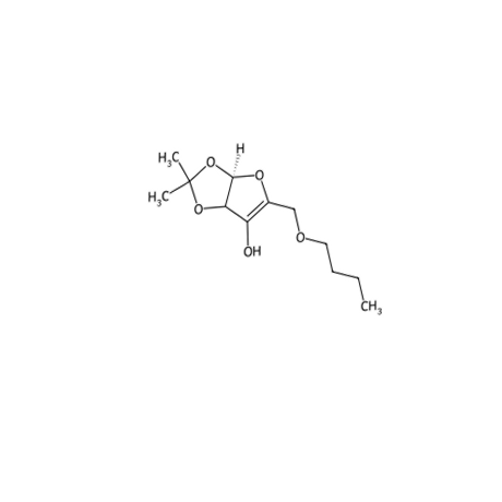 CCCCOCC1=C(O)C2OC(C)(C)O[C@H]2O1